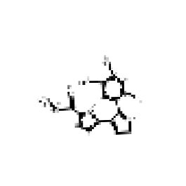 CCCc1cc(C2=NCC=C2c2ccc(C(=O)NN)o2)c(O)cc1O